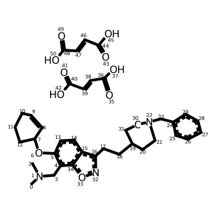 CN(C)Cc1c(OC2C=CCCC2)ccc2c(CCC3CCN(Cc4ccccc4)CC3)noc12.O=C(O)C=CC(=O)O.O=C(O)C=CC(=O)O